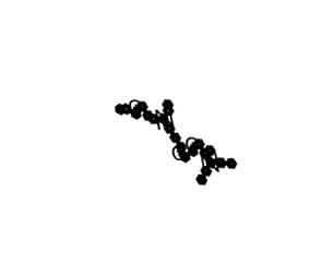 c1ccc(-c2ccc(-c3nc(-c4ccc(-c5ccccc5)cc4)nc(-c4ccc(-c5cccc6oc7cc(-c8cccc9oc%10cc(-c%11ccc(-c%12ccc(-c%13nc(-c%14ccc%15ccccc%15c%14)nc(-c%14ccc%15ccc(-c%16cccc%17oc%18c(-c%19ccc%20ccccc%20c%19)cccc%18c%16%17)cc%15c%14)n%13)cc%12)cc%11)ccc%10c89)ccc7c56)c5ccccc45)n3)cc2)cc1